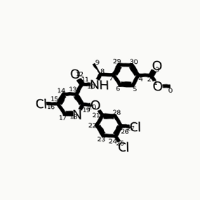 COC(=O)c1ccc([C@H](C)NC(=O)c2cc(Cl)cnc2Oc2ccc(Cl)c(Cl)c2)cc1